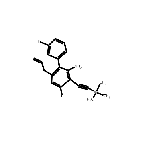 C[Si](C)(C)C#Cc1c(F)cc(CC=O)c(-c2cccc(F)c2)c1N